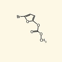 COC(=O)Oc1ccc(Br)o1